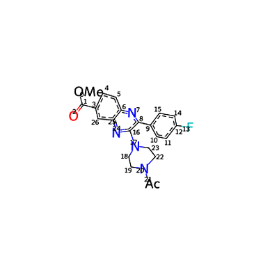 COC(=O)c1ccc2nc(-c3ccc(F)cc3)c(N3CCN(C(C)=O)CC3)nc2c1